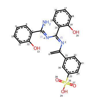 C=C(/N=C(\N=C(/N)c1ccccc1O)c1ccccc1O)c1cccc(S(=O)(=O)O)c1